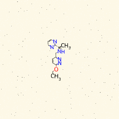 CCOc1ccc(CN[C@H](C)c2ncccn2)nn1